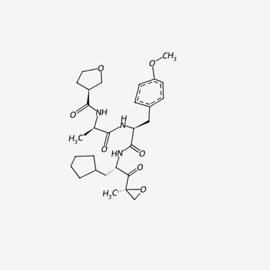 COc1ccc(C[C@H](NC(=O)[C@@H](C)NC(=O)[C@H]2CCOC2)C(=O)N[C@@H](CC2CCCC2)C(=O)[C@]2(C)CO2)cc1